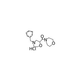 Cl.O=C(C1CN(Cc2ccccc2)CCO1)N1CCOCC1